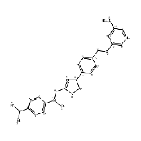 CCC(CC)c1ccc(N(CC2=NC(c3ccc(COc4cncc(C(=O)O)c4)cc3)CS2)C(C)C)cc1